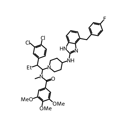 CCC(c1ccc(Cl)c(Cl)c1)C(N1CCC(Nc2nc3c(Cc4ccc(F)cc4)cccc3[nH]2)CC1)N(C)C(=O)c1cc(OC)c(OC)c(OC)c1